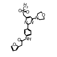 CS(=O)(=O)Cc1cc(N2CCOCC2)nc(-c2ccc(NC(=O)Cc3ccco3)cc2)n1